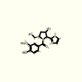 CCC1C[C@H](CC(C)C)N(C(=O)c2ccc(C(C)(C)C)c(OC)c2)C1c1nccs1